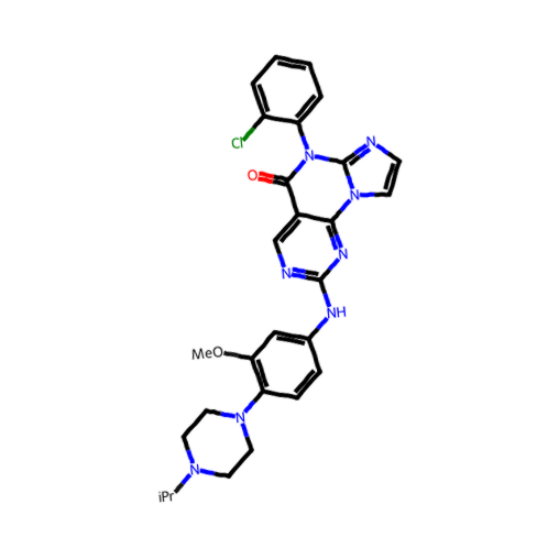 COc1cc(Nc2ncc3c(=O)n(-c4ccccc4Cl)c4nccn4c3n2)ccc1N1CCN(C(C)C)CC1